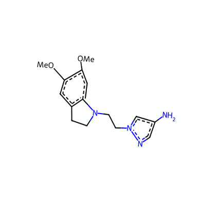 COc1cc2c(cc1OC)N(CCn1cc(N)cn1)CC2